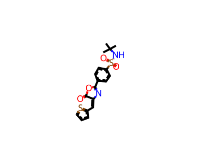 CC(C)(C)NS(=O)(=O)c1ccc(C2=N/C(=C/c3cccs3)C(=O)O2)cc1